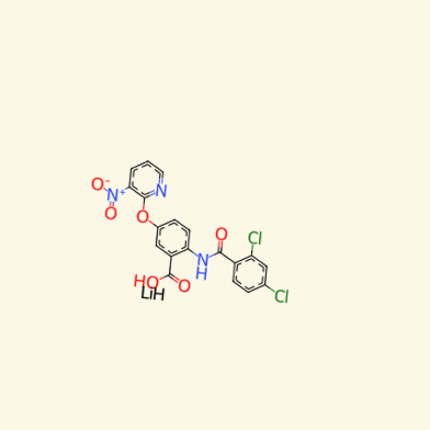 O=C(Nc1ccc(Oc2ncccc2[N+](=O)[O-])cc1C(=O)O)c1ccc(Cl)cc1Cl.[LiH]